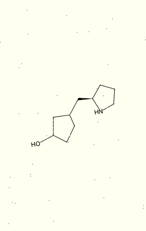 OC1CCC(C[C@H]2CCCN2)C1